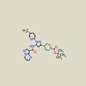 Cc1ccc(-n2nc(C3CCN(C(=O)OC(C)(C)C)CC3)cc2NC(=O)c2cnn3cccnc23)nc1